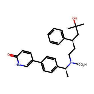 C[C@@H](c1ccc(-c2ccc(=O)[nH]c2)cc1)N(CC[C@H](CC(C)(C)O)c1ccccc1)C(=O)O